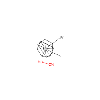 CC(C)[C]12[CH]3[CH]4[CH]5[C]1(C)[Fe]45321678[CH]2[CH]1[CH]6[CH]7[CH]28.OO